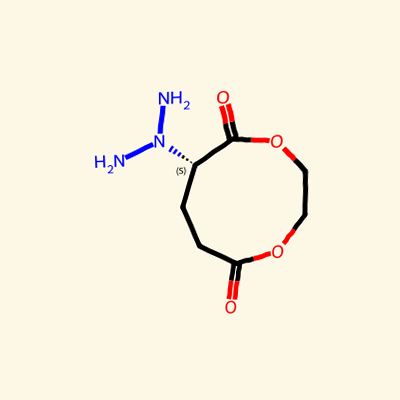 NN(N)[C@H]1CCC(=O)OCCOC1=O